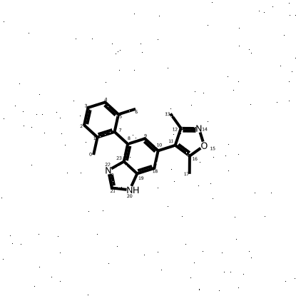 Cc1cccc(C)c1-c1cc(-c2c(C)noc2C)cc2[nH]cnc12